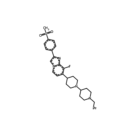 CC(C)CN1CCC(N2CCC(c3ccn4cc(-c5ccc(S(C)(=O)=O)cc5)nc4c3F)CC2)CC1